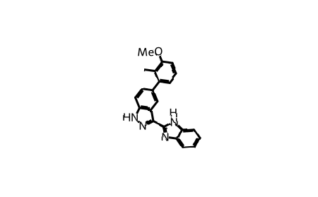 COc1cccc(-c2ccc3[nH]nc(-c4nc5ccccc5[nH]4)c3c2)c1C